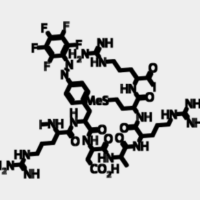 CSCCC(NC(=O)C(CCCNC(=N)N)NC(=O)C(C)NC(=O)C(CC(=O)O)NC(=O)C(Cc1ccc(/N=N/c2c(F)c(F)c(F)c(F)c2F)cc1)NC(=O)C(CCCNC(=N)N)NI)C(=O)NC(CCCNC(=N)N)C(=O)I